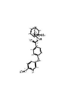 COc1ccc(Sc2ccc(C(=O)N[C@H]3CN4CCC3CC4)cc2)cn1